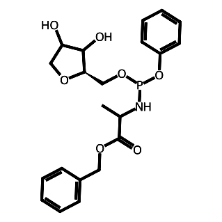 CC(NP(OC[C@H]1OCC(O)C1O)Oc1ccccc1)C(=O)OCc1ccccc1